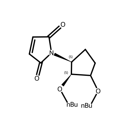 CCCCOC1CC[C@H](N2C(=O)C=CC2=O)[C@@H]1OCCCC